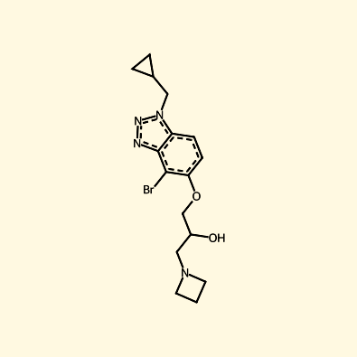 OC(COc1ccc2c(nnn2CC2CC2)c1Br)CN1CCC1